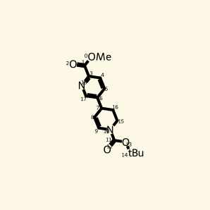 COC(=O)c1ccc(C2C=CN(C(=O)OC(C)(C)C)CC2)cn1